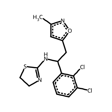 Cc1cc(CC(NC2=NCCS2)c2cccc(Cl)c2Cl)on1